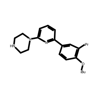 CCC(C)Oc1ccc(-c2cccc(N3CCNCC3)n2)cc1C(C)C